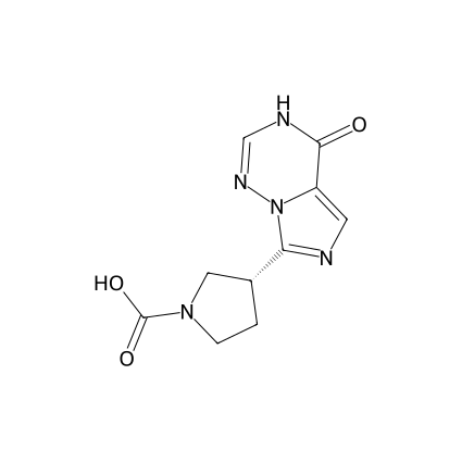 O=C(O)N1CC[C@@H](c2ncc3c(=O)[nH]cnn23)C1